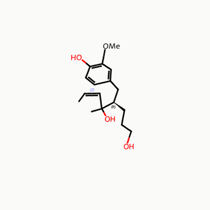 C/C=C\C(C)(O)[C@H](CCCO)Cc1ccc(O)c(OC)c1